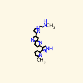 CNCCn1ccc(-c2cnc3ccc(-c4c[nH]nc4-c4cccc(C)n4)nc3c2)n1